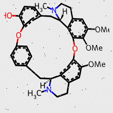 COc1cc2c3cc1Oc1c(OC)c(OC)cc4c1[C@H](Cc1ccc(O)c(c1)Oc1ccc(cc1)C[C@@H]3N(C)CC2)N(C)CC4